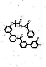 CC(C)(Oc1cccc(C2CCCN(C(=O)c3cccc(-c4ccc(F)c(F)c4)c3)C2)c1)C(=O)N[C@H]1C(=O)C1c1ccccc1